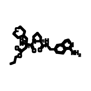 CCCOC(=O)C[C@](N)(CC1CCCCC1)C(=O)N1CCC[C@H]1C(=O)NCc1ccc2c(N)nccc2c1